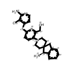 Nc1nccc(Sc2ccc(N3CCC4(CC3)Cc3ccccc3[C@H]4N)c(CO)n2)c1Cl